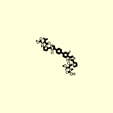 COC(=O)N[C@H](C(=O)N1CCCC1c1ncc(-c2ccc(-c3ccc(-c4cnc(C5CCCN5C(=O)[C@H]([C@@H](C)OC)N(C)C(=O)O)[nH]4)c(F)c3)cc2)[nH]1)C(C)C